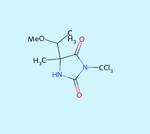 COC(C)C1(C)NC(=O)N(C(Cl)(Cl)Cl)C1=O